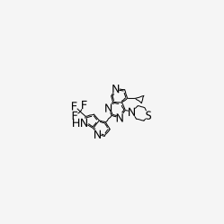 FC(F)(F)c1cc2c(-c3nc(N4CCSCC4)c4c(C5CC5)cncc4n3)ccnc2[nH]1